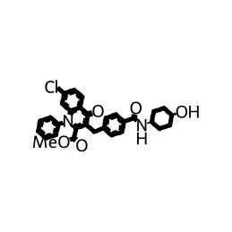 COC(=O)c1c(Cc2ccc(C(=O)N[C@H]3CC[C@H](O)CC3)cc2)c(=O)c2ccc(Cl)cc2n1-c1ccccc1